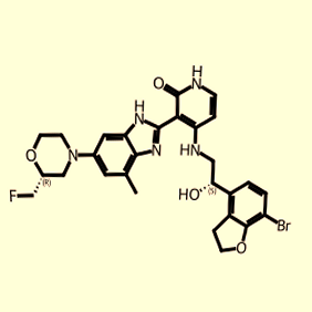 Cc1cc(N2CCO[C@@H](CF)C2)cc2[nH]c(-c3c(NC[C@@H](O)c4ccc(Br)c5c4CCO5)cc[nH]c3=O)nc12